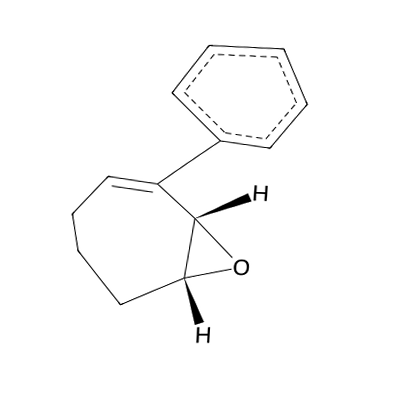 C1=C(c2ccccc2)[C@@H]2O[C@@H]2CCC1